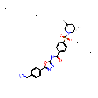 C[C@@H]1C[C@H](C)CN(S(=O)(=O)c2ccc(C(=O)Nc3nnc(-c4ccc(CN)cc4)o3)cc2)C1